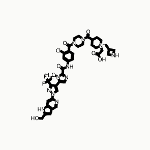 Cn1c(-c2cn(-c3cc4[nH]c(CO)cc4cn3)nc2C(F)(F)F)cnc1C(=O)Nc1ccc(C(=O)N2CCN(C(=O)C3CC[N+](CC(=O)O)(CC4CNC4)CC3)CC2)c(Cl)c1